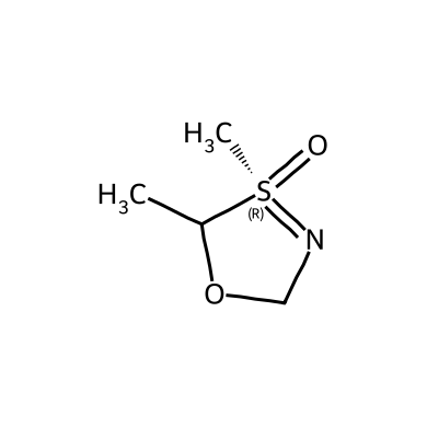 CC1OCN=[S@]1(C)=O